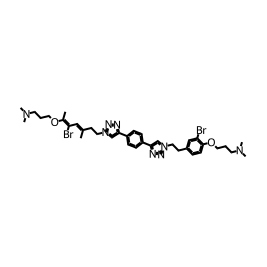 C/C(OCCCN(C)C)=C(Br)\C=C(/C)CCn1cc(-c2ccc(-c3cn(CCc4ccc(OCCCN(C)C)c(Br)c4)nn3)cc2)nn1